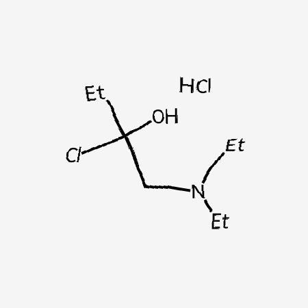 CCN(CC)CC(O)(Cl)CC.Cl